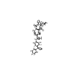 C#CC[C@]1(O)C(=O)N(C)c2cnc(NCc3ccc(C(=O)c4ccccc4)cc3)nc2N1C